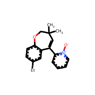 CCc1ccc2c(c1)C(c1cccc[n+]1[O-])=CC(C)(C)CO2